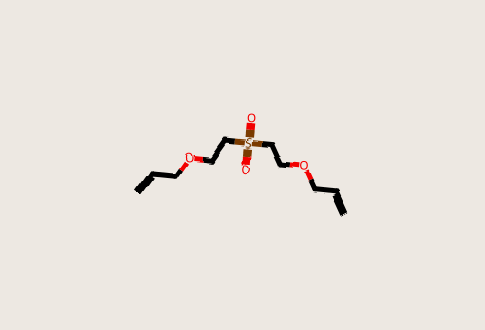 C=CCOCCS(=O)(=O)CCOCC=C